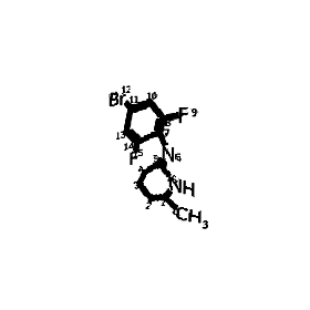 CC1CCC/C(=N\c2c(F)cc(Br)cc2F)N1